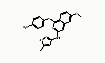 Bc1ccc(Nc2nc(Nc3cc(C)[nH]n3)cc3cc(OC)ccc23)cc1